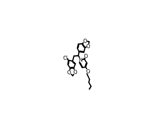 CCCCCOc1ccn(C(Cc2cc3c(cc2Cl)OCO3)c2ccc3c(c2)OCO3)c(=O)c1